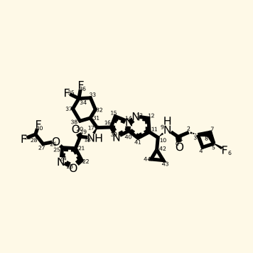 O=C(C[C@]12C[C@@](F)(C1)C2)N[C@@H](c1cnn2cc([C@@H](NC(=O)c3conc3OCC(F)F)C3CCC(F)(F)CC3)nc2c1)C1CC1